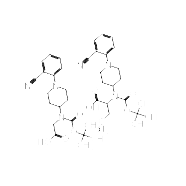 CC(C)(C)OC(=O)N(CC(=O)O)C1CCN(c2ccccc2C#N)CC1.CCC(C(=O)O)N(C(=O)OC(C)(C)C)C1CCN(c2ccccc2C#N)CC1